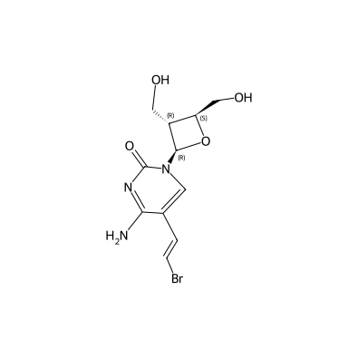 Nc1nc(=O)n([C@@H]2O[C@H](CO)[C@H]2CO)cc1C=CBr